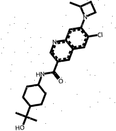 CC1CCN1c1cc2ncc(C(=O)NC3CCC(C(C)(C)O)CC3)cc2cc1Cl